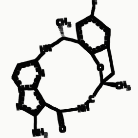 C[C@H]1Nc2ccn3nc(N)c(c3n2)C(=O)NC[C@@]2(C)Cc3cc(F)cc1c3O2